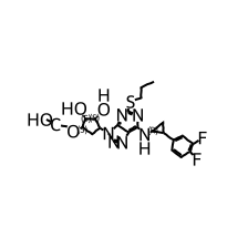 CCCSc1nc(N[C@@H]2CC2c2ccc(F)c(F)c2)c2nnn(C3C[C@H](OCCO)[C@@H](O)[C@H]3O)c2n1